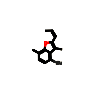 C/C=C\c1oc2c(C)ccc(C(C)(C)C)c2c1C